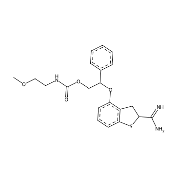 COCCNC(=O)OCC(Oc1cccc2c1CC(C(=N)N)S2)c1ccccc1